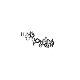 Cc1ccnc(-n2ncc(C(=O)Nc3ccc(Oc4ccnc(N)c4Cl)c(F)c3)c2C(F)(F)F)n1